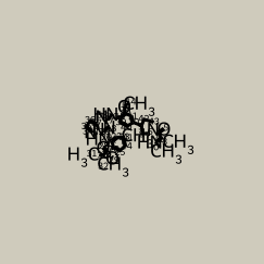 CN[C@H](C)C(=O)N1CCC(c2cc(OC)c(Nc3nc(Nc4ccccc4S(=O)(=O)C(C)C)n4nccc4n3)cc2C)CC1